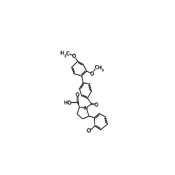 COc1ccc(-c2ccc(C(=O)N3C(c4ccccc4Cl)CC[C@H]3C(=O)O)cc2)c(OC)c1